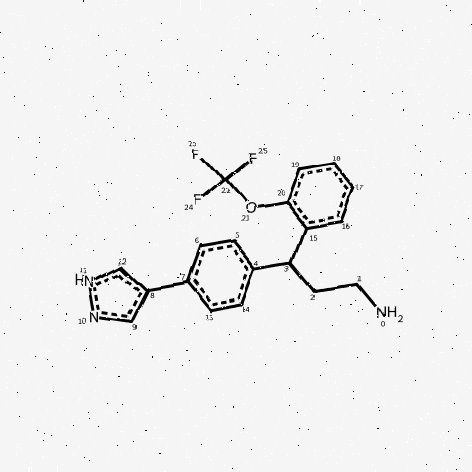 NCCC(c1ccc(-c2cn[nH]c2)cc1)c1ccccc1OC(F)(F)F